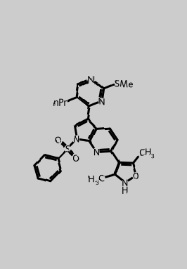 CCCc1cnc(SC)nc1-c1cn(S(=O)(=O)c2ccccc2)c2nc(C3=C(C)ONC3C)ccc12